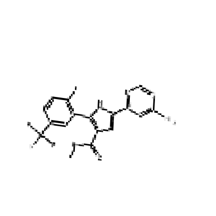 CNC(=O)c1cc(-c2cc(N)ncn2)[nH]c1-c1cc(C(F)(F)F)ccc1Cl